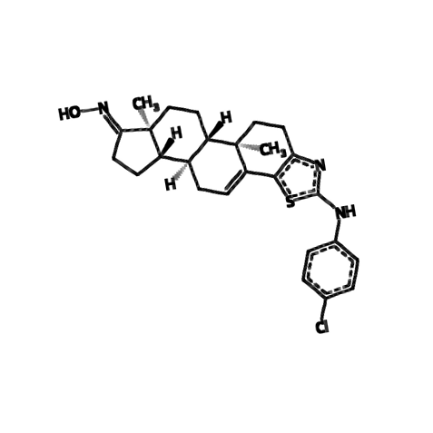 C[C@]12CCc3nc(Nc4ccc(Cl)cc4)sc3C1=CC[C@@H]1[C@@H]2CC[C@]2(C)/C(=N/O)CC[C@@H]12